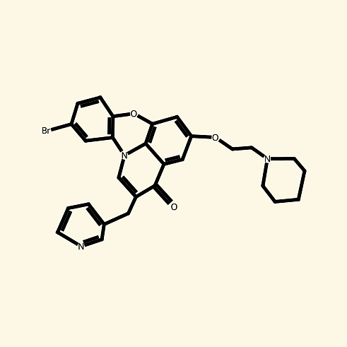 O=c1c(Cc2cccnc2)cn2c3c(cc(OCCN4CCCCC4)cc13)Oc1ccc(Br)cc1-2